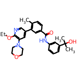 CCOc1ncc(-c2cc(C(=O)Nc3cccc(C(C)(C)O)c3)ccc2C)cc1N1CCOCC1